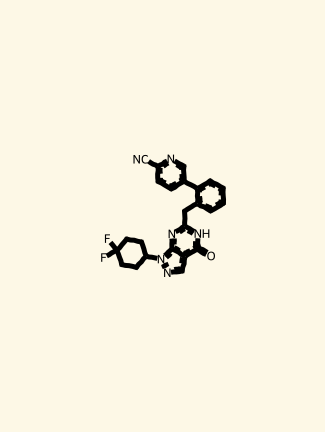 N#Cc1ccc(-c2ccccc2Cc2nc3c(cnn3C3CCC(F)(F)CC3)c(=O)[nH]2)cn1